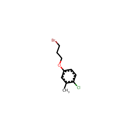 Cc1cc(OCCCBr)ccc1Cl